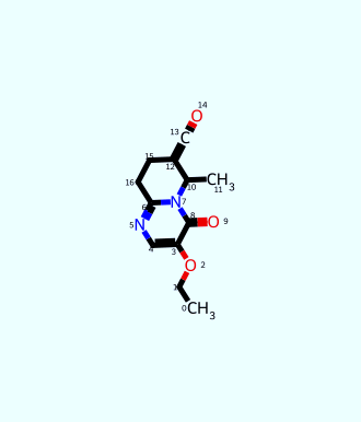 CCOc1cnc2n(c1=O)C(C)C(=C=O)CC2